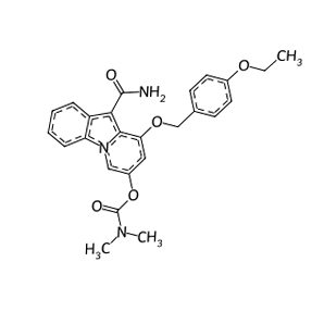 CCOc1ccc(COc2cc(OC(=O)N(C)C)cn3c2c(C(N)=O)c2ccccc23)cc1